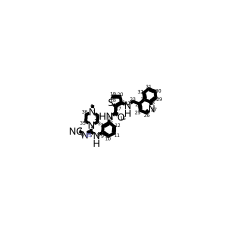 CN1CCN(/C(=N\C#N)Nc2cccc(NC(=O)c3sccc3NCc3ccnc4ccccc34)c2)CC1